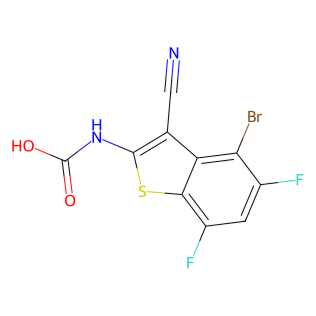 N#Cc1c(NC(=O)O)sc2c(F)cc(F)c(Br)c12